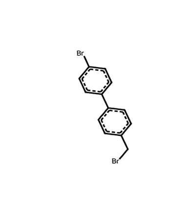 BrCc1ccc(-c2ccc(Br)cc2)cc1